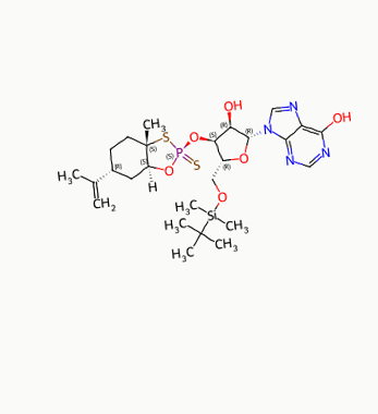 C=C(C)[C@@H]1CC[C@]2(C)S[P@@](=S)(O[C@H]3[C@@H](O)[C@H](n4cnc5c(O)ncnc54)O[C@@H]3CO[Si](C)(C)C(C)(C)C)O[C@H]2C1